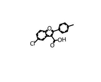 Cc1ccc(-c2oc3ccc(Cl)cc3c2C(=O)O)cc1